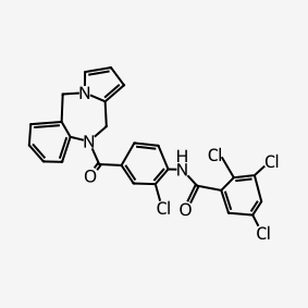 O=C(Nc1ccc(C(=O)N2Cc3cccn3Cc3ccccc32)cc1Cl)c1cc(Cl)cc(Cl)c1Cl